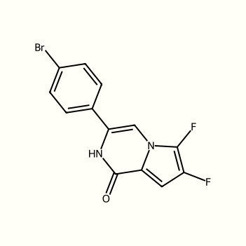 O=c1[nH]c(-c2ccc(Br)cc2)cn2c(F)c(F)cc12